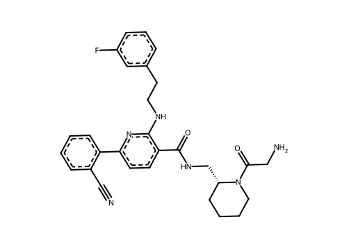 N#Cc1ccccc1-c1ccc(C(=O)NC[C@H]2CCCCN2C(=O)CN)c(NCCc2cccc(F)c2)n1